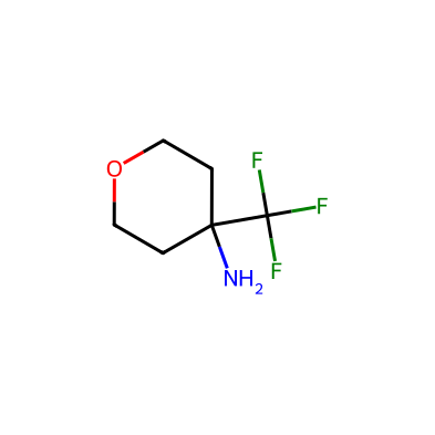 NC1(C(F)(F)F)CCOCC1